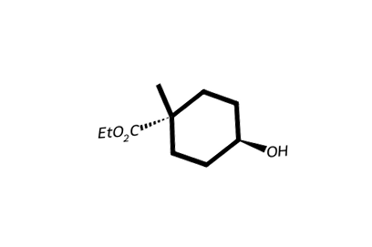 CCOC(=O)[C@]1(C)CC[C@@H](O)CC1